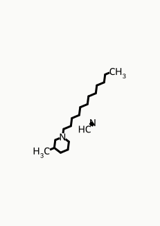 C#N.CCCCCCCCCCCCN1CCCC(C)C1